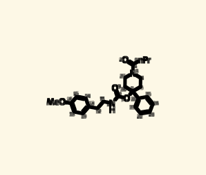 CCCC(=O)N1CCC(OC(=O)NCCc2ccc(OC)cc2)(c2ccccc2)CC1